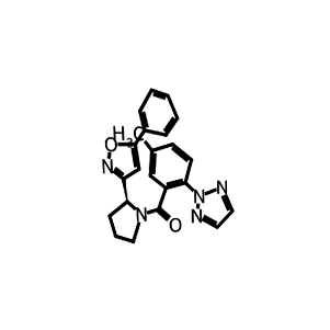 Cc1ccc(-n2nccn2)c(C(=O)N2CCC[C@H]2c2cc(-c3ccccc3)on2)c1